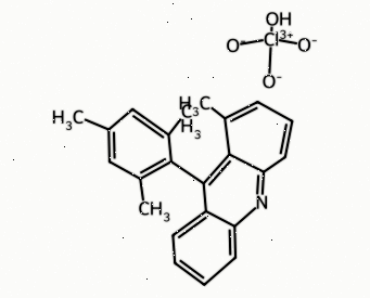 Cc1cc(C)c(-c2c3ccccc3nc3cccc(C)c23)c(C)c1.[O-][Cl+3]([O-])([O-])O